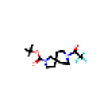 CC(C)(C)OC(=O)N1CCC2(CCN(C(=O)C(F)(F)F)CC2)C1